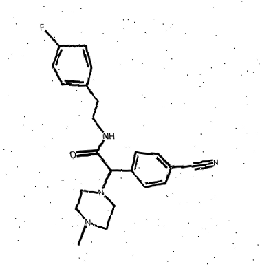 CN1CCN(C(C(=O)NCCc2ccc(F)cc2)c2ccc(C#N)cc2)CC1